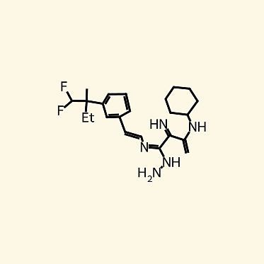 C=C(NC1CCCCC1)C(=N)/C(=N\C=C\c1cccc(C(C)(CC)C(F)F)c1)NN